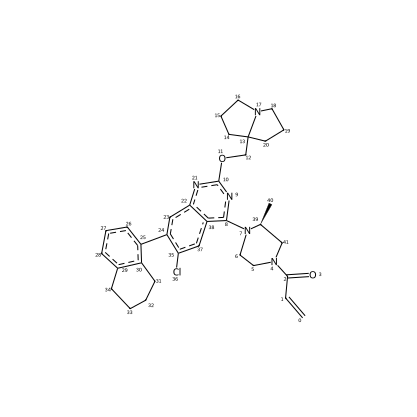 C=CC(=O)N1CCN(c2nc(OCC34CCCN3CCC4)nc3cc(-c4cccc5c4CCCC5)c(Cl)cc23)[C@@H](C)C1